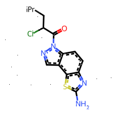 CC(C)CC(Cl)C(=O)n1ncc2c3sc(N)nc3ccc21